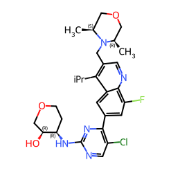 CC(C)c1c(CN2[C@H](C)COC[C@@H]2C)cnc2c(F)cc(-c3nc(N[C@@H]4CCOC[C@@H]4O)ncc3Cl)cc12